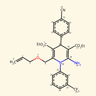 C=CCOCC1=C(C(=O)OCC)C(c2ccc(C#N)cc2)C(C(=O)OCC)=C(N)N1c1cccc(C(F)(F)F)c1